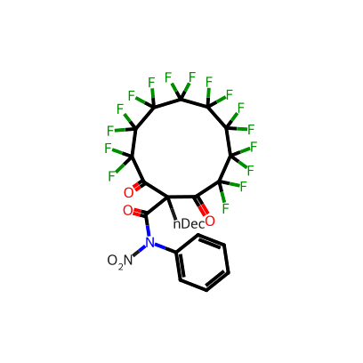 CCCCCCCCCCC1(C(=O)N(c2ccccc2)[N+](=O)[O-])C(=O)C(F)(F)C(F)(F)C(F)(F)C(F)(F)C(F)(F)C(F)(F)C(F)(F)C(F)(F)C1=O